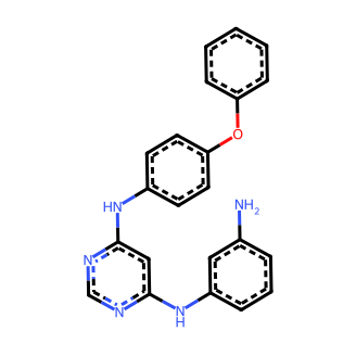 Nc1cccc(Nc2cc(Nc3ccc(Oc4ccccc4)cc3)ncn2)c1